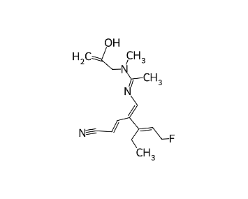 C=C(O)CN(C)/C(C)=N/C=C(\C=C\C#N)C(=C/CF)/CC